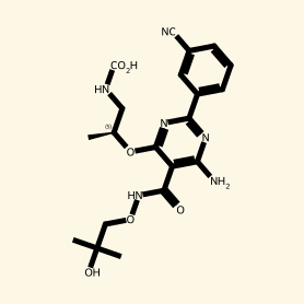 C[C@@H](CNC(=O)O)Oc1nc(-c2cccc(C#N)c2)nc(N)c1C(=O)NOCC(C)(C)O